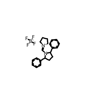 C(N1C(c2ccccc2)CCC1c1ccccc1)=[N+]1CCCC1.F[B-](F)(F)F